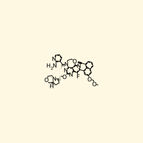 C#Cc1cccc2cc(OCOC)cc(-c3nc4c5c(nc(OC[C@@H]6CC[C@H]7COCCN76)nc5c3F)N([C@H](C)c3cccnc3N)CCO4)c12